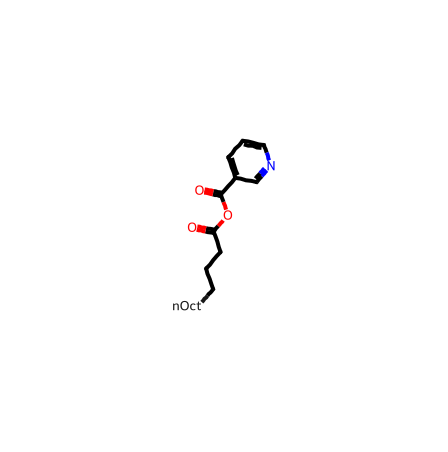 CCCCCCCCCCCC(=O)OC(=O)c1cccnc1